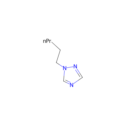 [CH2]CCCCn1cncn1